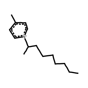 CCCCCCCC(C)[n+]1ccc(C)cc1